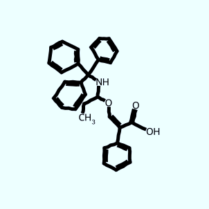 CCC(NC(c1ccccc1)(c1ccccc1)c1ccccc1)OC=C(C(=O)O)c1ccccc1